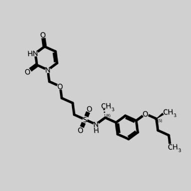 CCC[C@H](C)Oc1cccc([C@@H](C)NS(=O)(=O)CCCOCn2ccc(=O)[nH]c2=O)c1